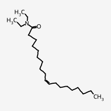 CCCCCCCC/C=C\CCCCCCCCC(=O)N(CC)CC